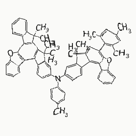 Cc1ccc(N(c2ccc3c(c2)C(C)(C)c2cc(-c4c(C)cc(C)cc4C)c4oc5ccccc5c4c2-3)c2ccc3c(c2)C(C)(C)c2c4c(c5oc6ccccc6c5c2-3)-c2ccccc2C4(C)C)cc1